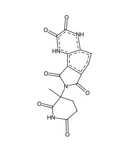 CC1(N2C(=O)c3ccc4[nH]c(=O)c(=O)[nH]c4c3C2=O)CCC(=O)NC1=O